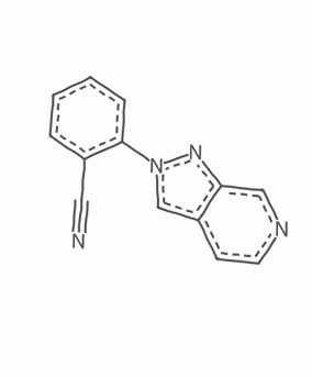 N#Cc1ccccc1-n1cc2ccncc2n1